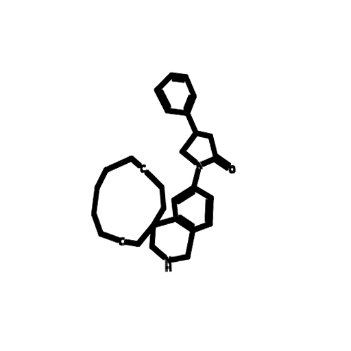 O=C1CC(c2ccccc2)CN1c1ccc2c(c1)C1(CCCCCCCCCC1)CNC2